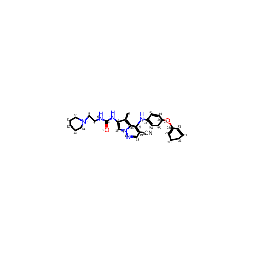 Cc1c(NC(=O)NCCN2CCCCC2)cn2ncc(C#N)c(NC3=CCC(OC4=CCCC=C4)C=C3)c12